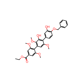 CCOC(=O)c1cc(OC)c(-c2cc(OC)c(-c3ccc(OCc4ccccc4)c(O)c3)c(O)c2OC)c(OC)c1